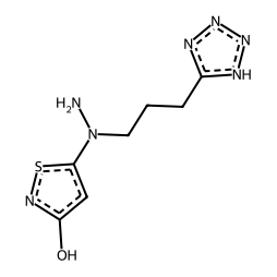 NN(CCCc1nnn[nH]1)c1cc(O)ns1